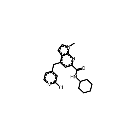 Cn1ccc2c(Cc3ccnc(Cl)c3)cc(C(=O)NC3CCCCC3)nc21